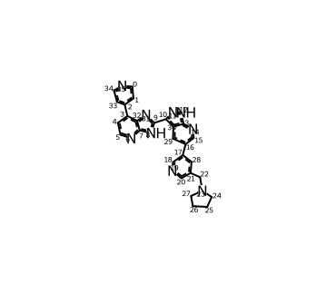 c1cc(-c2ccnc3[nH]c(-c4n[nH]c5ncc(-c6cncc(CN7CCCC7)c6)cc45)nc23)ccn1